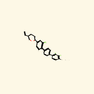 C=CC1CCC(c2ccc(-c3ccc(-c4ccc(OC)c(F)c4F)cc3)c(F)c2)OC1